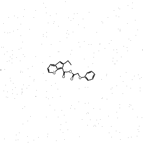 CCc1cc2cccoc-2c1C(=O)OC(=O)COc1ccccc1